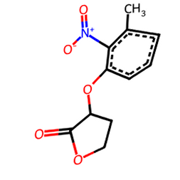 Cc1cccc(OC2CCOC2=O)c1[N+](=O)[O-]